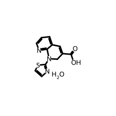 O.O=C(O)C1=Cc2cccnc2N(c2nccs2)C1